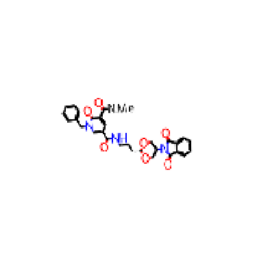 CNC(=O)c1cc(C(=O)NCCC[C@H]2OC[C@H](N3C(=O)c4ccccc4C3=O)CO2)cn(Cc2ccccc2)c1=O